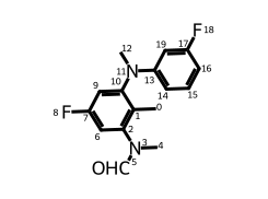 Cc1c(N(C)C=O)cc(F)cc1N(C)c1cccc(F)c1